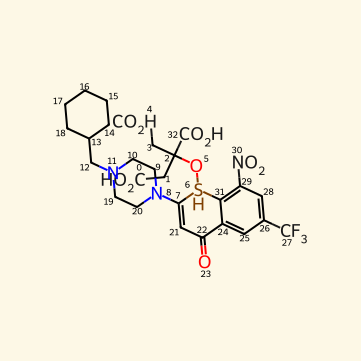 O=C(O)CC(CC(=O)O)(O[SH]1C(N2CCN(CC3CCCCC3)CC2)=CC(=O)c2cc(C(F)(F)F)cc([N+](=O)[O-])c21)C(=O)O